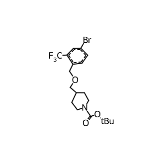 CC(C)(C)OC(=O)N1CCC(COCc2ccc(Br)cc2C(F)(F)F)CC1